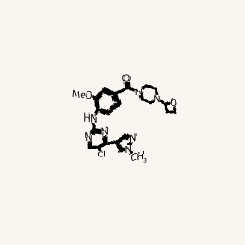 COc1cc(C(=O)N2CCN(C3CCO3)CC2)ccc1Nc1ncc(Cl)c(-c2cnn(C)c2)n1